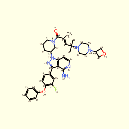 CC(C)(C=C(C#N)C(=O)N1CCCC(n2nc(-c3ccc(Oc4ccccc4)c(F)c3)c3c(N)nccc32)C1)N1CCN(C2COC2)CC1